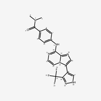 CN(C)C(=O)c1ccc(Nc2nccn3c(-c4c[nH]nc4C(F)(F)F)cnc23)cc1